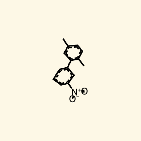 Cc1ccc(C)c(-c2cccc([N+](=O)[O-])c2)c1